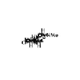 CNCCC(=O)N[C@H]1CC[C@H](Nc2cc(NC3CC3)c3ncc(C(=O)Nc4ccnc(Cl)c4)n3n2)CC1